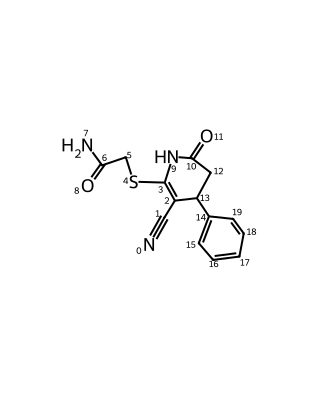 N#CC1=C(SCC(N)=O)NC(=O)CC1c1ccccc1